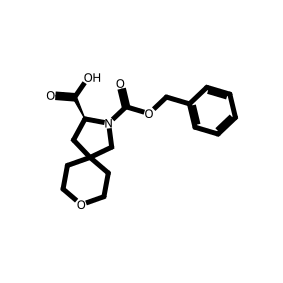 O=C(O)[C@@H]1CC2(CCOCC2)CN1C(=O)OCc1ccccc1